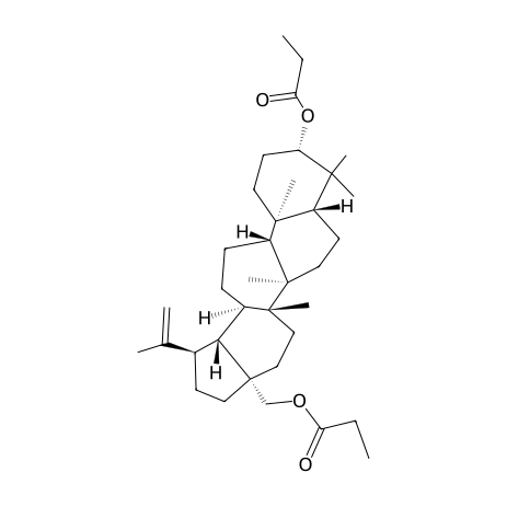 C=C(C)[C@@H]1CC[C@]2(COC(=O)CC)CC[C@]3(C)[C@H](CC[C@@H]4[C@@]5(C)CC[C@H](OC(=O)CC)C(C)(C)[C@@H]5CC[C@]43C)[C@@H]12